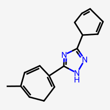 CC1=CCC=C(c2nc(C3C=CC=CC3)n[nH]2)C=C1